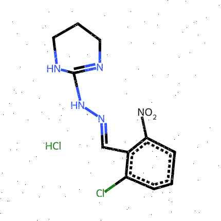 Cl.O=[N+]([O-])c1cccc(Cl)c1C=NNC1=NCCCN1